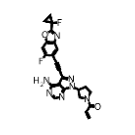 C=CC(=O)N1CCC(n2nc(C#Cc3cc4nc(C5(F)CC5)oc4cc3F)c3c(N)ncnc32)C1